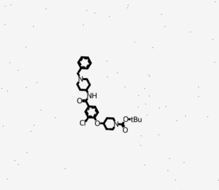 CC(C)(C)OC(=O)N1CCC(Oc2ccc(C(=O)NC3CCN(Cc4ccccc4)CC3)cc2Cl)CC1